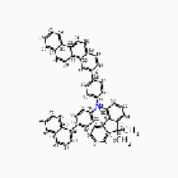 CC1(C)c2ccccc2-c2c(N(c3ccc(-c4ccc5ccc6c7ccccc7ccc6c5c4)cc3)c3ccc(-c4cccc5ccccc45)cc3)cccc21